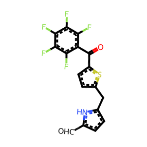 O=Cc1ccc(Cc2ccc(C(=O)c3c(F)c(F)c(F)c(F)c3F)s2)[nH]1